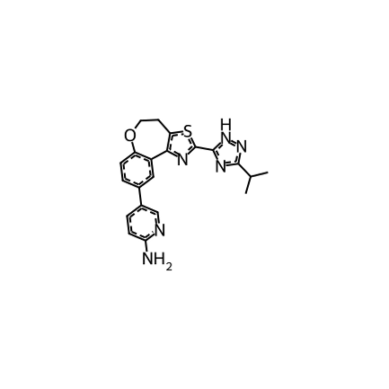 CC(C)c1n[nH]c(-c2nc3c(s2)CCOc2ccc(-c4ccc(N)nc4)cc2-3)n1